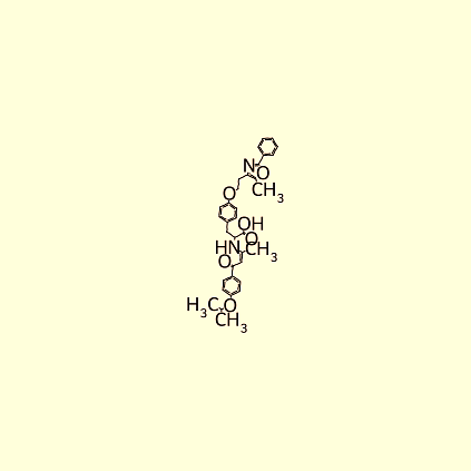 C/C(=C/C(=O)c1ccc(OC(C)C)cc1)NC(Cc1ccc(OCCc2nc(-c3ccccc3)oc2C)cc1)C(=O)O